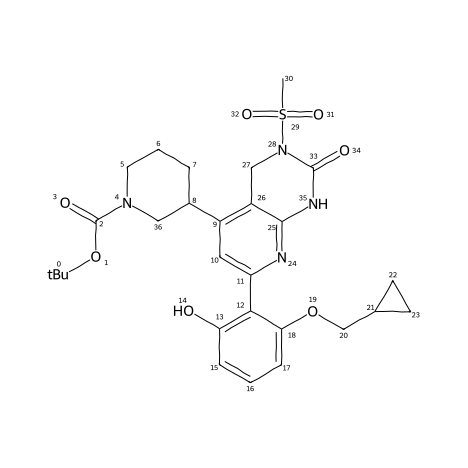 CC(C)(C)OC(=O)N1CCCC(c2cc(-c3c(O)cccc3OCC3CC3)nc3c2CN(S(C)(=O)=O)C(=O)N3)C1